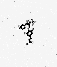 O=C(O)CCc1cc(F)c(OCc2c(C3CCC(F)(F)C3)nsc2C(F)(F)F)c(F)c1